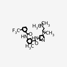 Cc1ccc(NC(=O)c2cccc(C(F)(F)F)c2)cc1C(=O)Nc1cncc(N(C)CCN(C)C)c1